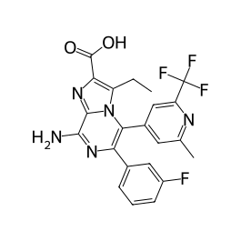 CCc1c(C(=O)O)nc2c(N)nc(-c3cccc(F)c3)c(-c3cc(C)nc(C(F)(F)F)c3)n12